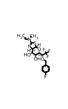 C=CN(C)C1=N[C@@H]2[C@@H](O)[C@H](O)[C@@H]([C@@H](OCc3ccc(F)cc3)C(F)(F)F)O[C@@H]2S1